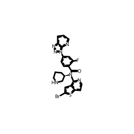 O=C(c1ccc(-n2nnc3cccnc32)cc1F)N(c1nccc2sc(Br)cc12)[C@@H]1CCCNC1